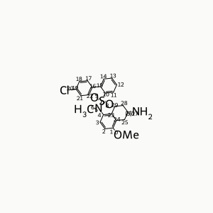 COc1ccc(N(C)S(=O)(=O)c2ccccc2-c2ccc(Cl)cc2)c2c1C[C@@H](N)CC2